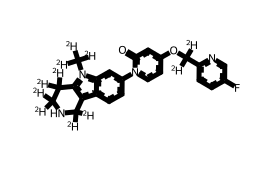 [2H]C1([2H])NC([2H])([2H])C([2H])([2H])c2c1c1ccc(-n3ccc(OC([2H])([2H])c4ccc(F)cn4)cc3=O)cc1n2C([2H])([2H])[2H]